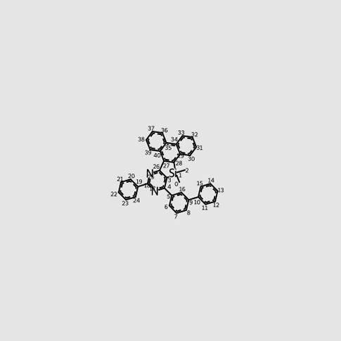 C[Si]1(C)c2c(-c3cccc(-c4ccccc4)c3)nc(-c3ccccc3)nc2-c2c1c1ccccc1c1ccccc21